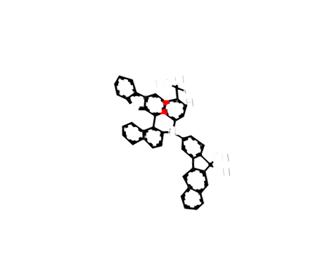 CC(C)(C)c1ccc(N(c2ccc3c(c2)-c2cc4ccccc4cc2C3(C)C)c2ccc3ccccc3c2-c2cccc3c2sc2ccccc23)cc1